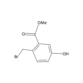 COC(=O)c1cc(O)ccc1CBr